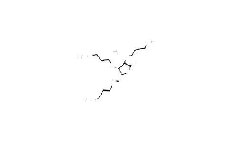 CCCCOC[C@H]1OC(=O)[C@](C)(OCCCC)[C@@H]1OCCCC